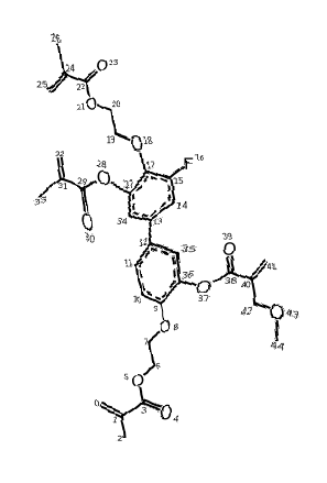 C=C(C)C(=O)OCCOc1ccc(-c2cc(F)c(OCCOC(=O)C(=C)C)c(OC(=O)C(=C)C)c2)cc1OC(=O)C(=C)COC